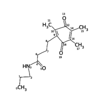 CCCNC(=O)CCCC1=C(C)C(=O)C(C)=C(C)C1=O